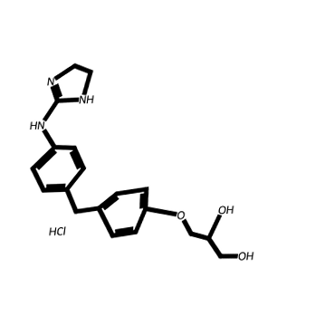 Cl.OCC(O)COc1ccc(Cc2ccc(NC3=NCCN3)cc2)cc1